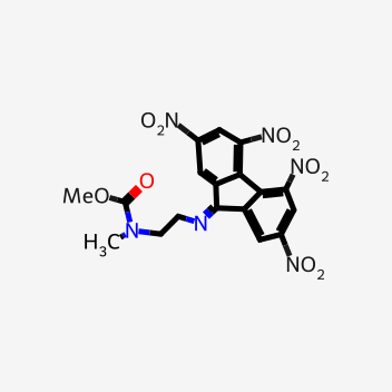 COC(=O)N(C)CCN=C1c2cc([N+](=O)[O-])cc([N+](=O)[O-])c2-c2c1cc([N+](=O)[O-])cc2[N+](=O)[O-]